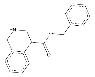 O=C(OCc1ccccc1)C1CNCc2ccccc21